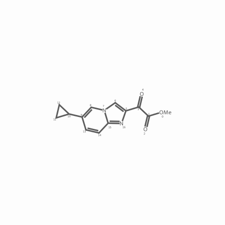 COC(=O)C(=O)c1cn2cc(C3CC3)ccc2n1